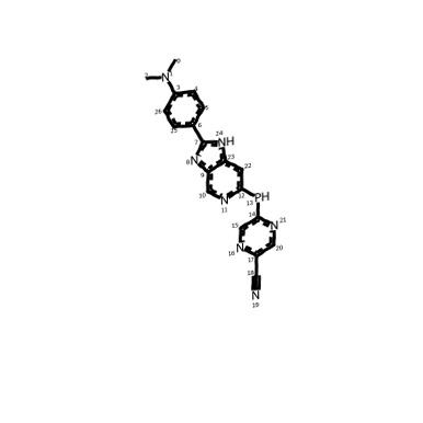 CN(C)c1ccc(-c2nc3cnc(Pc4cnc(C#N)cn4)cc3[nH]2)cc1